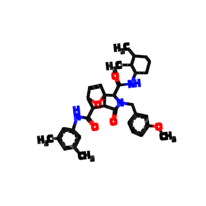 COc1cccc(CN2C(=O)C3C(C(=O)Nc4cc(C)cc(C)c4)C4C=CC3(O4)C2C(=O)NC2CCCC(C)C2C)c1